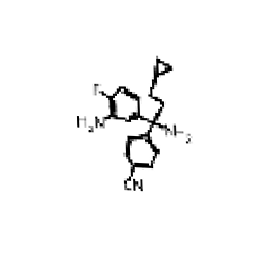 N#Cc1ccc(C(N)(CCC2CC2)c2ccc(F)c(N)c2)cc1